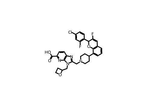 O=C(O)c1ccc2nc(CN3CCC(c4cccc5c4OC(c4ccc(Cl)cc4F)C(F)=C5)CC3)n(CC3CCO3)c2n1